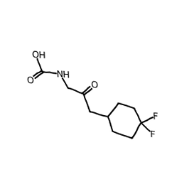 O=C(CNC(=O)O)CC1CCC(F)(F)CC1